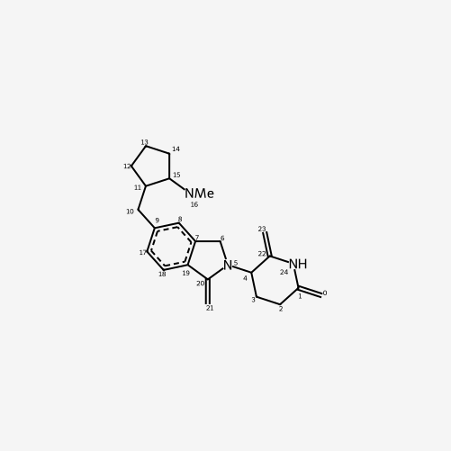 C=C1CCC(N2Cc3cc(CC4CCCC4NC)ccc3C2=C)C(=C)N1